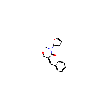 CN(C(=O)C([C]=O)=Cc1ccccc1)c1ccco1